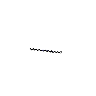 CCCCCCCC/C=C/C/C=C/C/C=C/CCCC=O